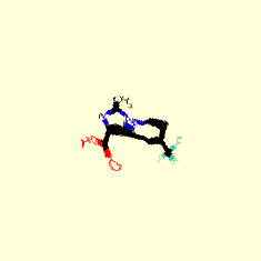 Cc1nc(C(=O)O)c2cc(C(F)(F)F)ccn12